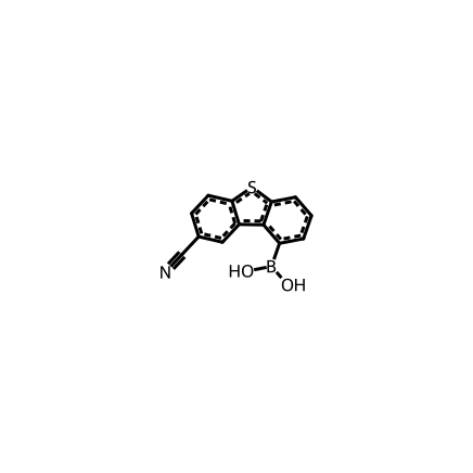 N#Cc1ccc2sc3cccc(B(O)O)c3c2c1